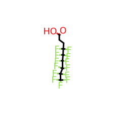 O=C(O)CCC(F)(F)C(F)(F)C(F)(F)C(F)(F)C(F)(F)C(F)(F)F